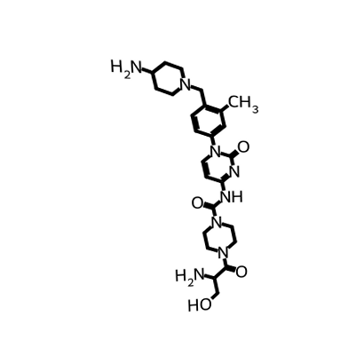 Cc1cc(-n2ccc(NC(=O)N3CCN(C(=O)C(N)CO)CC3)nc2=O)ccc1CN1CCC(N)CC1